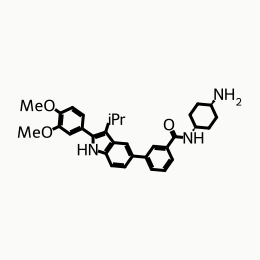 COc1ccc(-c2[nH]c3ccc(-c4cccc(C(=O)N[C@H]5CC[C@H](N)CC5)c4)cc3c2C(C)C)cc1OC